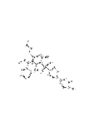 CCOCc1nc(=O)c(S(=O)(=O)c2ccc(-c3ccc(F)nc3)cc2)c(O)n1C(CC)c1ccccc1